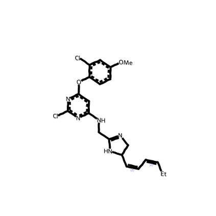 CC/C=C\C=C/C1CN=C(CNc2cc(Oc3ccc(OC)cc3Cl)nc(Cl)n2)N1